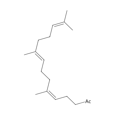 CC(=O)CC/C=C(/C)CC/C=C(\C)CCC=C(C)C